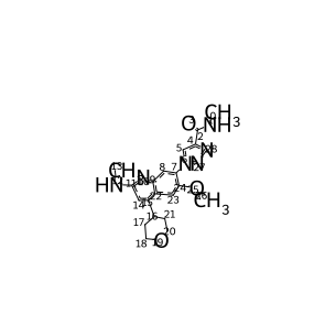 CNC(=O)c1cn(-c2cc3nc(NC)cc(C4CCOCC4)c3cc2OC)nn1